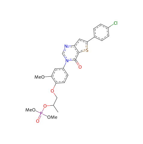 COc1cc(-n2cnc3cc(-c4ccc(Cl)cc4)sc3c2=O)ccc1OCC(C)OP(=O)(OC)OC